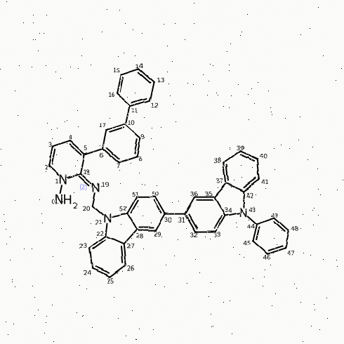 Nn1cccc(-c2cccc(-c3ccccc3)c2)/c1=N/Cn1c2ccccc2c2cc(-c3ccc4c(c3)c3ccccc3n4-c3ccccc3)ccc21